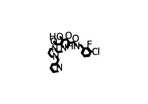 O=C(NCc1cccc(Cl)c1F)c1cn2c(c(O)c1=O)C(=O)N1CCCN(Cc3ccccn3)C1C2